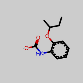 CCC(C)Oc1ccccc1NC([O])=O